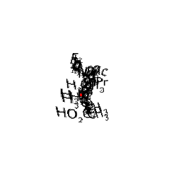 CC(=O)O[C@@H](CNCc1ccc(F)cc1)[C@@]12CC[C@]3(C)[C@H](CC[C@@H]4[C@@]5(C)CC[C@H](OC(=O)CC(C)(C)C(=O)O)C(C)(C)[C@@H]5CC[C@]43C)C1=C(C(C)C)CC(=O)C2